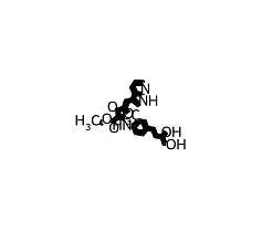 CCOC(=O)C1=C(Nc2ccc(CCC(O)CO)cc2C)O/C(=C\c2c[nH]c3ncccc23)C1=O